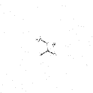 CCC(Cl)Cl.[Al]